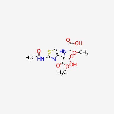 COC(=O)C(NC(OC)C(=O)O)(C(=O)O)c1csc(NC(C)=O)n1